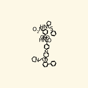 O=C(NS(=O)(=O)c1ccc(NC2(CSc3ccccc3)CCCC2)c([N+](=O)[O-])c1)c1ccc(N2CCC(Cc3ccccc3-c3ccccc3)(OCCN3CCCCC3)CC2)cc1